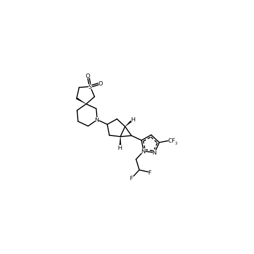 O=S1(=O)CC[C@@]2(CCCN(C3C[C@@H]4C(c5cc(C(F)(F)F)nn5CC(F)F)[C@@H]4C3)C2)C1